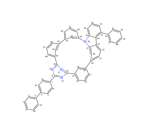 c1ccc(-c2ccc(-c3nc4nc(n3)-c3cccc(c3)-c3ccc5c6c(-c7ccccc7)cccc6n(c5c3)-c3cccc(c3)-c3cccc-4c3)cc2)cc1